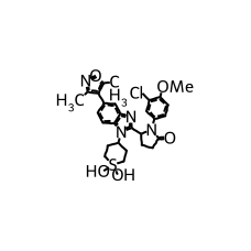 COc1ccc(N2C(=O)CCC2c2nc3cc(-c4c(C)noc4C)ccc3n2C2CCS(O)(O)CC2)cc1Cl